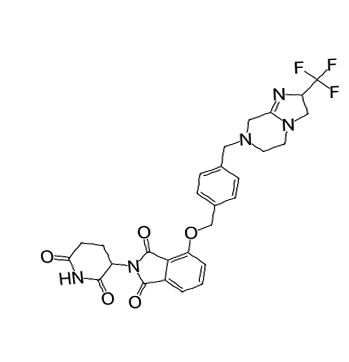 O=C1CCC(N2C(=O)c3cccc(OCc4ccc(CN5CCN6CC(C(F)(F)F)N=C6C5)cc4)c3C2=O)C(=O)N1